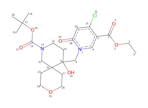 CCOC(=O)c1cn(CC2(O)CCN(C(=O)OC(C)(C)C)CC23CCOCC3)c(=O)cc1Cl